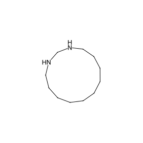 C1CCCCCNCNCCCC1